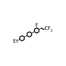 CCc1ccc(-c2ccc(-c3ccc(/C=C/C(F)(F)F)c(F)c3)cc2)cc1